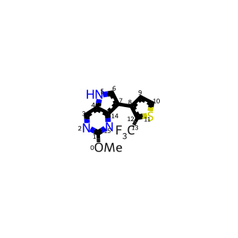 COc1ncc2[nH]cc(-c3ccsc3C(F)(F)F)c2n1